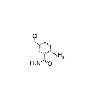 NC(=O)c1cc(CCl)ccc1N